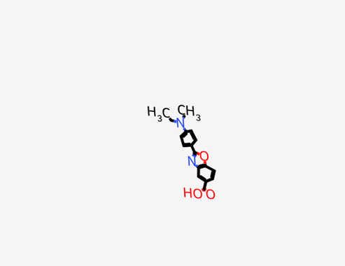 CCN(CC)c1ccc(-c2nc3cc(C(=O)O)ccc3o2)cc1